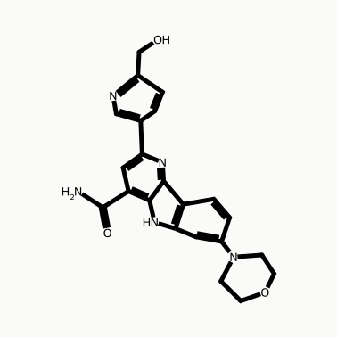 NC(=O)c1cc(-c2ccc(CO)nc2)nc2c1[nH]c1cc(N3CCOCC3)ccc12